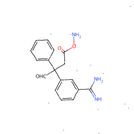 N=C(N)c1cccc(C(C=O)(CC(=O)ON)c2ccccc2)c1